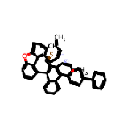 C=C/C=C\Cc1c(C)ccc2oc3cccc(-c4c(C=S)c(/C=C\CC)c(-c5ccc(-c6ccccc6)cc5)c5c4=CCCC=5)c3c12